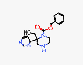 N#CCC1(c2ccncn2)CNCCN1C(=O)OCc1ccccc1